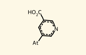 O=C(O)c1cncc([At])c1